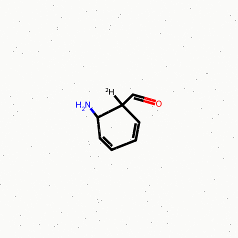 [2H]C1(C=O)C=CC=CC1N